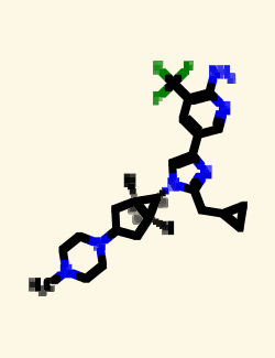 CN1CCN(C2C[C@@H]3[C@H](C2)[C@H]3n2cc(-c3cnc(N)c(C(F)(F)F)c3)nc2CC2CC2)CC1